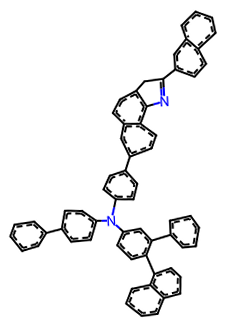 c1ccc(-c2ccc(N(c3ccc(-c4ccc5c6c(ccc5c4)CC(c4ccc5ccccc5c4)=N6)cc3)c3ccc(-c4cccc5ccccc45)c(-c4ccccc4)c3)cc2)cc1